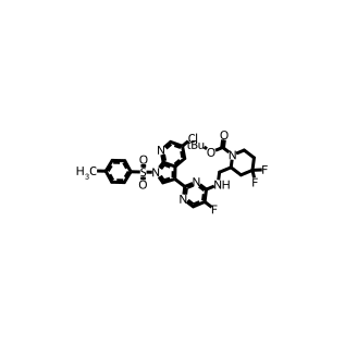 Cc1ccc(S(=O)(=O)n2cc(-c3ncc(F)c(NCC4CC(F)(F)CCN4C(=O)OC(C)(C)C)n3)c3cc(Cl)cnc32)cc1